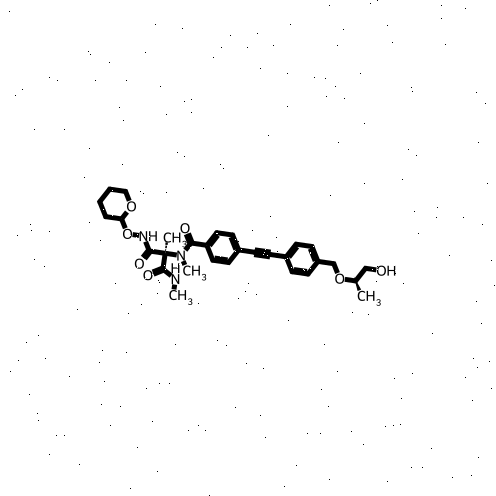 CNC(=O)[C@@](C)(C(=O)NOC1CCCCO1)N(C)C(=O)c1ccc(C#Cc2ccc(CO[C@H](C)CO)cc2)cc1